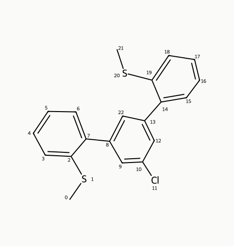 CSc1ccccc1-c1cc(Cl)cc(-c2ccccc2SC)c1